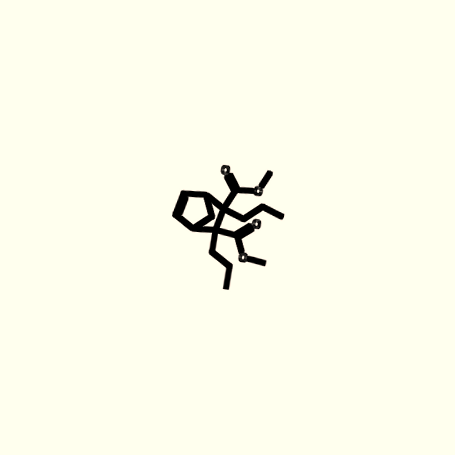 CCCC1(C(=O)OC)C2C=CC(C2)C1(CCC)C(=O)OC